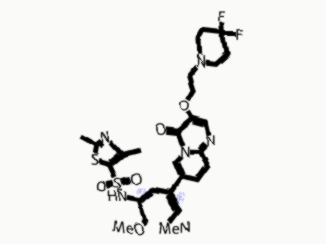 CN/C=C(\C=C(/COC)NS(=O)(=O)c1sc(C)nc1C)c1ccc2ncc(OCCN3CCC(F)(F)CC3)c(=O)n2c1